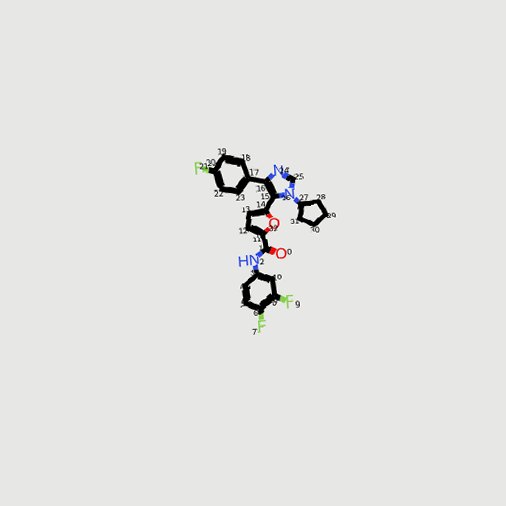 O=C(Nc1ccc(F)c(F)c1)c1ccc(-c2c(-c3ccc(F)cc3)ncn2C2CCCC2)o1